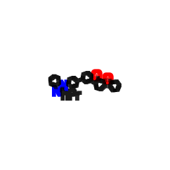 CCCc1nc2ccccc2n1-c1ccc(-c2ccc3oc4c(ccc5c6ccccc6oc54)c3c2)cc1